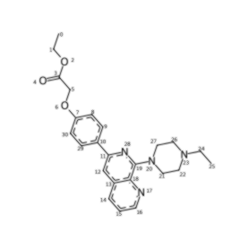 CCOC(=O)COc1ccc(-c2cc3cccnc3c(N3CCN(CC)CC3)n2)cc1